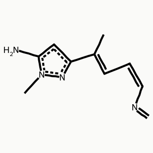 C=N/C=C\C=C(/C)c1cc(N)n(C)n1